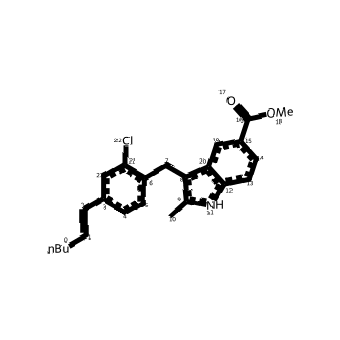 CCCCC=Cc1ccc(Cc2c(C)[nH]c3ccc(C(=O)OC)cc23)c(Cl)c1